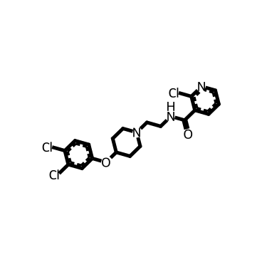 O=C(NCCN1CCC(Oc2ccc(Cl)c(Cl)c2)CC1)c1cccnc1Cl